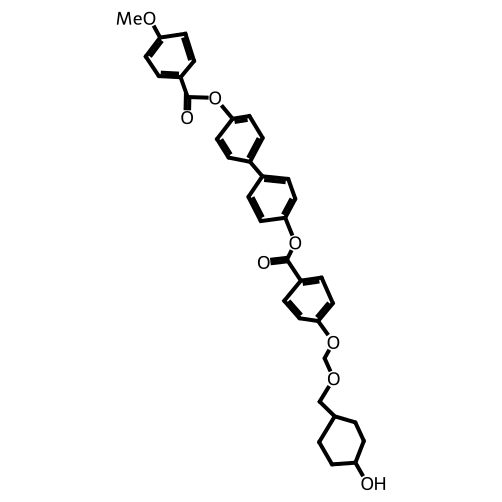 COc1ccc(C(=O)Oc2ccc(-c3ccc(OC(=O)c4ccc(OCOCC5CCC(O)CC5)cc4)cc3)cc2)cc1